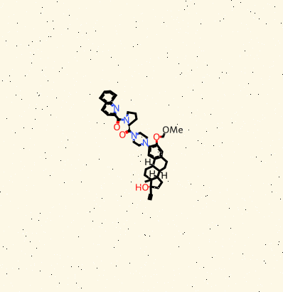 C#C[C@]1(O)CC[C@H]2[C@@H]3CCc4cc(OCOC)c(N5CCN(C(=O)[C@@H]6CCCN6C(=O)c6ccc7ccccc7n6)CC5)cc4[C@H]3CCC21C